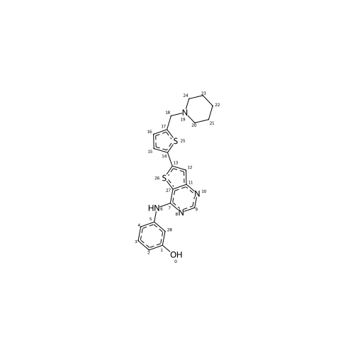 Oc1cccc(Nc2ncnc3cc(-c4ccc(CN5CCCCC5)s4)sc23)c1